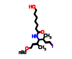 CCCCOC/C=C(\C)[C@@H](NC(=O)CCCCCCO)[C@@H](C)/C=C/I